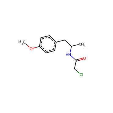 COc1ccc(CC(C)NC(=O)CCl)cc1